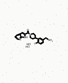 Cl.Cl.NCc1ccc(F)c(C2CCN(C(=O)c3cc4cccnc4[nH]3)CC2)c1